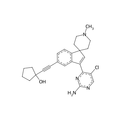 CN1CCC2(C=C(c3nc(N)ncc3Cl)c3cc(C#CC4(O)CCCC4)ccc32)CC1